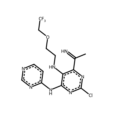 CC(=N)c1nc(Cl)nc(Nc2ccncn2)c1NCCOCC(F)(F)F